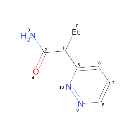 CCC(C(N)=O)c1cccnn1